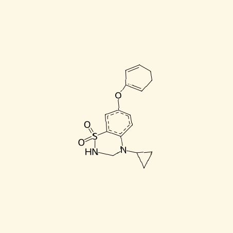 O=S1(=O)NCN(C2CC2)c2ccc(OC3=CCCC=C3)cc21